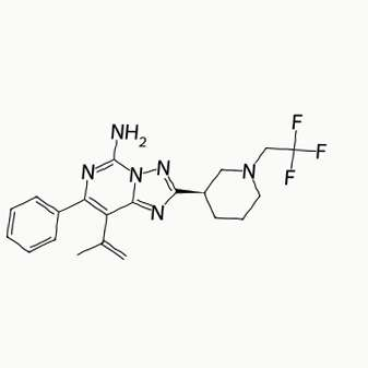 C=C(C)c1c(-c2ccccc2)nc(N)n2nc([C@@H]3CCCN(CC(F)(F)F)C3)nc12